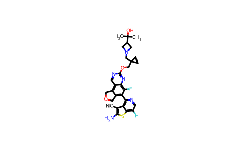 CC(C)(O)C1CN(CC2(COc3ncc4c5c(c(-c6ncc(F)c7sc(N)c(C#N)c67)c(F)c4n3)COC5)CC2)C1